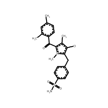 Cc1ccc(C(=O)c2c(C)c(Cl)c(Cc3ccc(S(N)(=O)=O)cc3)n2C)c(C)c1